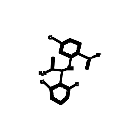 NC(=O)C(Nc1cc(Cl)ccc1[N+](=O)[O-])c1c(Cl)cccc1Cl